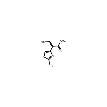 COC(=O)/C(=C/C(C)(C)C)c1csc(N)n1